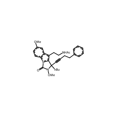 CCCCC1(C#CCCc2ccccc2)c2c(CCNC(C)=O)c3cc(OC)ccc3n2C(=O)N1OC